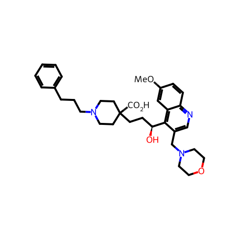 COc1ccc2ncc(CN3CCOCC3)c([C@@H](O)CCC3(C(=O)O)CCN(CCCc4ccccc4)CC3)c2c1